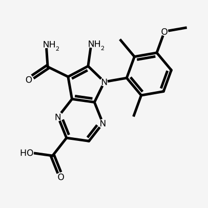 COc1ccc(C)c(-n2c(N)c(C(N)=O)c3nc(C(=O)O)cnc32)c1C